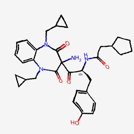 NC1(C(=O)[C@H](Cc2ccc(O)cc2)NC(=O)CC2CCCC2)C(=O)N(CC2CC2)c2ccccc2N(CC2CC2)C1=O